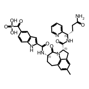 Cc1cc2c3c(c1)C[C@@H](C(=O)N[C@@H](CCC(N)=O)c1ccccn1)N3C(=O)[C@@H](NC(=O)c1cc3cc(C(=O)P(=O)(O)O)ccc3[nH]1)CC2